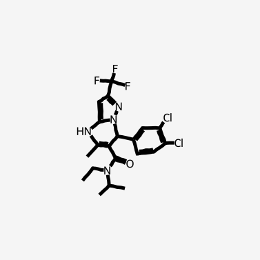 CCN(C(=O)C1=C(C)Nc2cc(C(F)(F)F)nn2C1c1ccc(Cl)c(Cl)c1)C(C)C